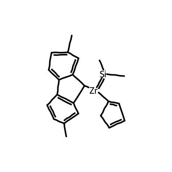 Cc1ccc2c(c1)[CH]([Zr]([C]1=CC=CC1)=[Si](C)C)c1cc(C)ccc1-2